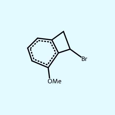 COc1cccc2c1C(Br)C2